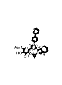 CSC1O[C@H]([C@H](NC(=O)[C@@H]2[C@@H]3OCC=CC[C@H]3CN2C2CC2)[C@H](C)Sc2ccc(-c3cccnc3)cc2)[C@@H](O)C(O)[C@H]1O